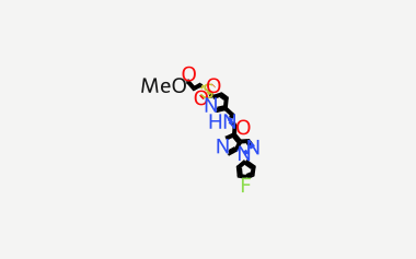 COC(=O)CCS(=O)(=O)c1ccc(CNC(=O)c2cncc3c2cnn3-c2ccc(F)cc2)cn1